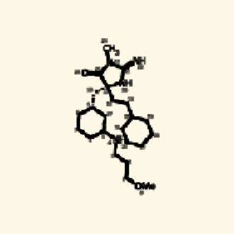 COCCCN[C@H]1CCC[C@H](C[C@@]2(CCC3CCCCC3)NC(=N)N(C)C2=O)C1